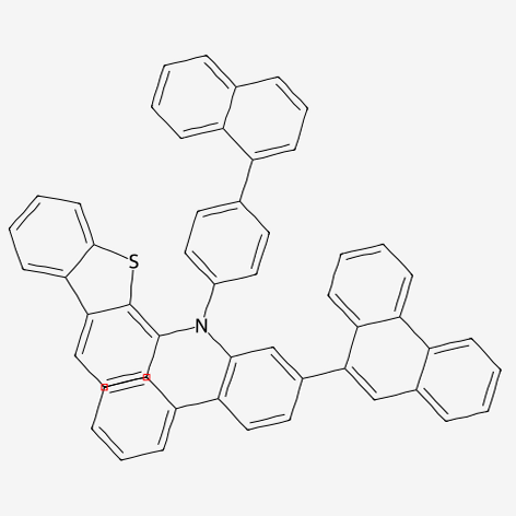 c1ccc(-c2ccc(-c3cc4ccccc4c4ccccc34)cc2N(c2ccc(-c3cccc4ccccc34)cc2)c2cccc3c2sc2ccccc23)cc1